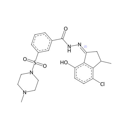 CC1C/C(=N/NC(=O)c2cccc(S(=O)(=O)N3CCN(C)CC3)c2)c2c(O)ccc(Cl)c21